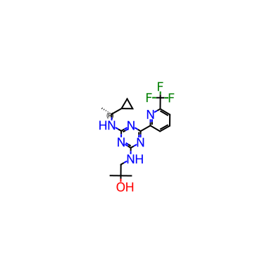 C[C@@H](Nc1nc(NCC(C)(C)O)nc(-c2cccc(C(F)(F)F)n2)n1)C1CC1